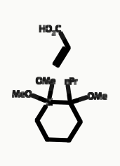 C=CC(=O)O.CCCC1(OC)CCCC[Si]1(OC)OC